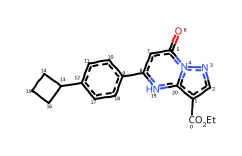 CCOC(=O)c1cnn2c(=O)cc(-c3ccc(C4CCC4)cc3)[nH]c12